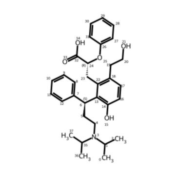 CC(C)N(CC[C@@H](c1ccccc1)c1c(O)ccc(CCO)c1C[C@@H](Oc1ccccc1)C(=O)O)C(C)C